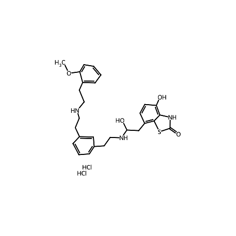 COc1ccccc1CCNCCc1cccc(CCNC(O)Cc2ccc(O)c3[nH]c(=O)sc23)c1.Cl.Cl